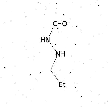 CCCNNC=O